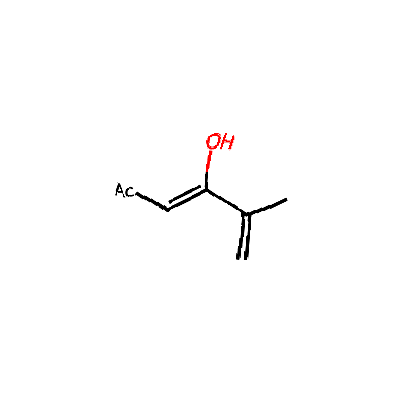 C=C(C)/C(O)=C/C(C)=O